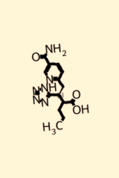 CCCC(C(=O)O)[C@H](Cc1ccc(C(N)=O)cn1)c1nnn[nH]1